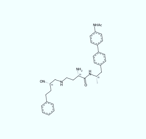 CC(=O)Nc1ccc(-c2ccc(C[C@H](C)NC(=O)[C@@H](N)CCNC[C@H](CCc3ccccc3)N=O)cc2)cc1